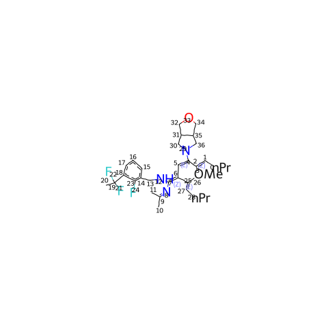 CCC/C=C(OC)/C(=C\C(=C(\N=C(C)C)NCc1cccc(C(C)(F)F)c1F)C(\C)=C\CCC)N1CC2COCC2C1